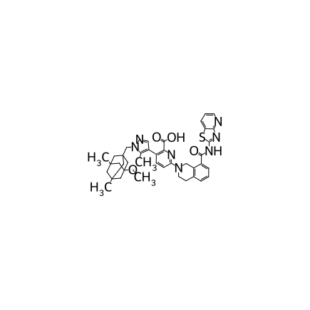 COC12CC3(C)CC(C)(CC(Cn4ncc(-c5ccc(N6CCc7cccc(C(=O)Nc8nc9ncccc9s8)c7C6)nc5C(=O)O)c4C)(C3)C1)C2